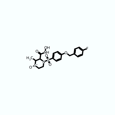 CC1C(C(=O)NO)N(S(=O)(=O)c2ccc(OCc3ccc(F)cc3)cc2)CC[S+]1[O-]